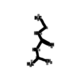 CCNC(=N)NC(C)C